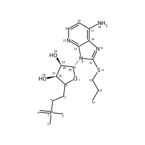 C=P(C)(C)CCC1O[C@@H](n2c(SCCC)nc3c(N)ccnc32)[C@H](O)[C@@H]1O